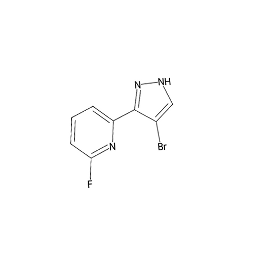 Fc1cccc(-c2n[nH]cc2Br)n1